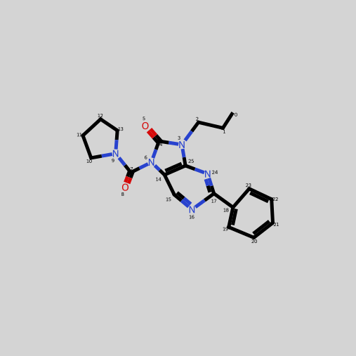 CCCn1c(=O)n(C(=O)N2CCCC2)c2cnc(-c3ccccc3)nc21